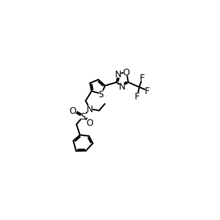 CCN(Cc1ccc(-c2noc(C(F)(F)F)n2)s1)S(=O)(=O)Cc1ccccc1